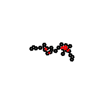 c1ccc(-c2ccc(N(c3ccc(-c4ccc5c(ccc6ccccc65)c4)cc3)c3ccccc3-c3cccc(-c4cccc5c4c4ccccc4n5-c4cccc(-c5ccc6c(c5)cc(-c5ccc(N(c7ccc(-c8ccc9c(ccc%10ccccc%109)c8)cc7)c7ccccc7-c7cccc(-c8cccc9c8c8ccccc8n9-c8ccccc8)c7)cc5)c5ccccc56)c4)c3)cc2)cc1